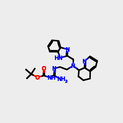 CC(C)(C)OC(=O)N/C(N)=N/CCN(Cc1nc2ccccc2[nH]1)C1CCCc2cccnc21